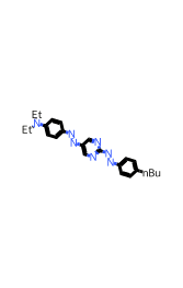 CCCCc1ccc(N=Nc2ncc(N=Nc3ccc(N(CC)CC)cc3)cn2)cc1